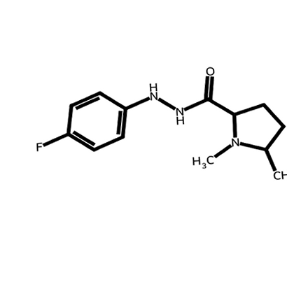 CC1CCC(C(=O)NNc2ccc(F)cc2)N1C